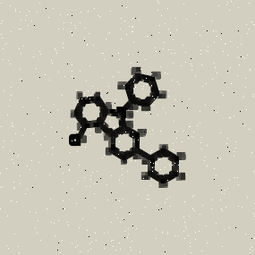 Clc1cccc2c1c1ccc(-c3ccccc3)cc1n2-c1ccccc1